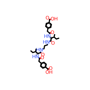 CCC(C)[C@H](NC(=O)Cc1ccc(C(=O)O)cc1)C(=O)NCCCNC(=O)[C@@H](NC(=O)Cc1ccc(C(=O)O)cc1)C(C)CC